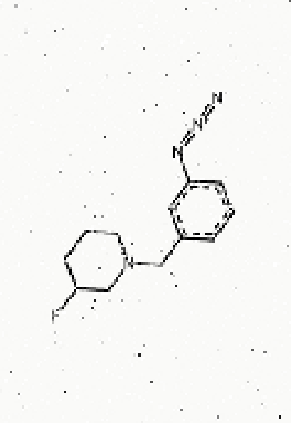 [N-]=[N+]=Nc1cccc(CN2CCCC(F)C2)c1